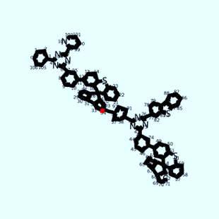 c1ccc(-c2nc(-c3cccc(-c4ccc5c(c4)C4(c6ccccc6S5)c5ccccc5-c5ccc(-c6ccc(-c7nc(-c8cccc(-c9ccc%10c(c9)C9(c%11ccccc%11S%10)c%10ccccc%10-c%10ccccc%109)c8)nc(-c8ccc9c(c8)sc8ccccc89)n7)cc6)cc54)c3)nc(-c3ccccn3)n2)cc1